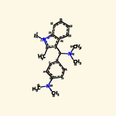 CCn1c(C)c(C(c2ccc(N(C)C)cc2)N(C)C)c2ccccc21